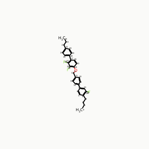 CCCCc1ccc(-c2ccc(COc3ccc(-c4ccc(CCC)cc4)c(F)c3F)cc2)cc1F